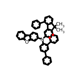 CC1(C)c2ccc(N(c3ccc4c(c3)oc3ccccc34)c3ccc(-c4ccccc4)cc3-c3ccccc3)cc2-c2c(-c3ccccc3)cccc21